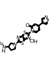 CC(C)(C)NC1CCN(c2nc3sc(-n4ccc(-c5cn[nH]c5)cc4=O)nc3s2)C1.Cl